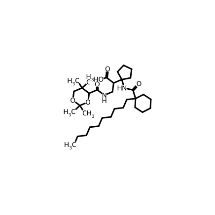 CCCCCCCCCCC1(C(=O)NC2(C(CNC(=O)C3OC(C)(C)OCC3(C)C)C(=O)O)CCCC2)CCCCC1